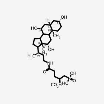 C[C@H](CCNC(=O)CCC(CP(=O)(O)O)C(=O)O)C1CCC2C3C(C[C@H](O)[C@@]21C)[C@@]1(C)CC[C@@H](O)C[C@H]1C[C@@H]3O